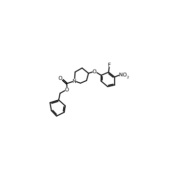 O=C(OCc1ccccc1)N1CCC(Oc2cccc([N+](=O)[O-])c2F)CC1